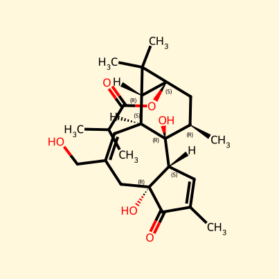 CC1=C[C@H]2[C@@]3(O)[C@H](C)C[C@]4(OC(=O)C(C)C)[C@H]([C@@H]3C=C(CO)C[C@]2(O)C1=O)C4(C)C